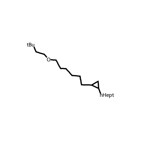 CCCCCCCC1CC1CCCCCCOCCC(C)(C)C